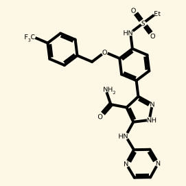 CCS(=O)(=O)Nc1ccc(-c2n[nH]c(Nc3cnccn3)c2C(N)=O)cc1OCc1ccc(C(F)(F)F)cc1